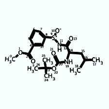 COC(=O)c1cccc([S+]([O-])NC(=O)C(CC(C)C)NC(=O)OC(C)(C)C)c1